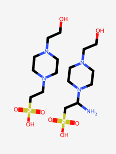 NC(CS(=O)(=O)O)N1CCN(CCO)CC1.O=S(=O)(O)CCN1CCN(CCO)CC1